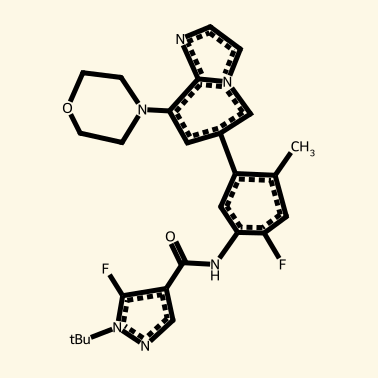 Cc1cc(F)c(NC(=O)c2cnn(C(C)(C)C)c2F)cc1-c1cc(N2CCOCC2)c2nccn2c1